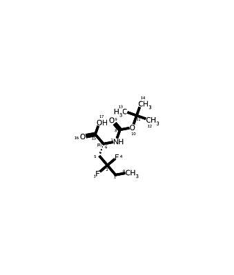 CCC(F)(F)C[C@@H](NC(=O)OC(C)(C)C)C(=O)O